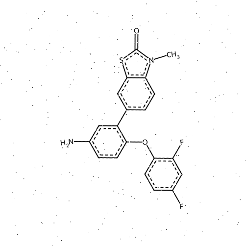 Cn1c(=O)sc2cc(-c3cc(N)ccc3Oc3ccc(F)cc3F)ccc21